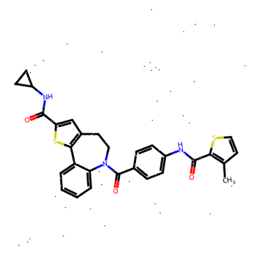 Cc1ccsc1C(=O)Nc1ccc(C(=O)N2CCc3cc(C(=O)NC4CC4)sc3-c3ccccc32)cc1